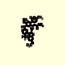 COc1ccc2c(c1)nc(C1CC1)n2-c1nc(Nc2cc(C=CC(N)=O)c(N(C)CCN(C)C)cc2OC)ncc1C(F)(F)F